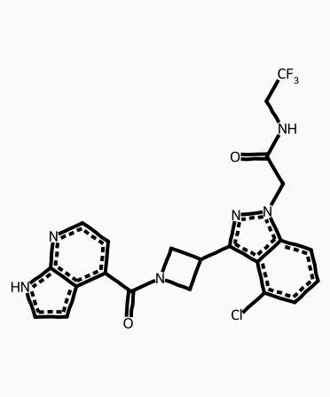 O=C(Cn1nc(C2CN(C(=O)c3ccnc4[nH]ccc34)C2)c2c(Cl)cccc21)NCC(F)(F)F